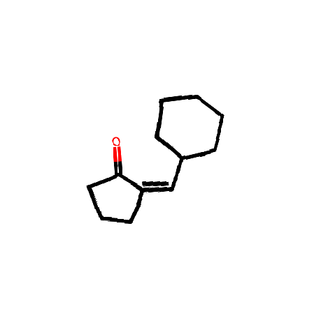 O=C1CCCC1=CC1CCCCC1